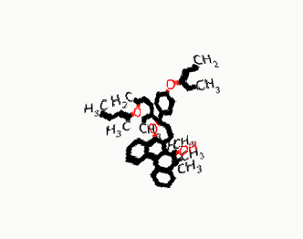 C=C/C=C(\CC)OC1CCC(C2(C(/C=C\C(=C)O/C(C)=C/C=C\C)CC)C=CC3C(=C4CCC=CC4=C4C5=C(CCCC5)C(C)(C)C(C)(O)[C@H]43)O2)CC1